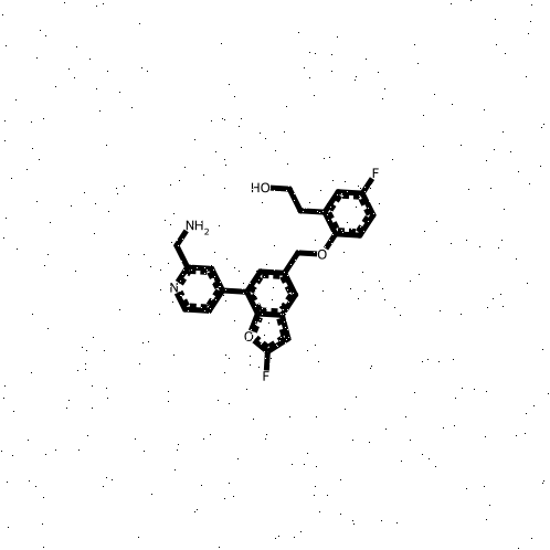 NCc1cc(-c2cc(COc3ccc(F)cc3CCO)cc3cc(F)oc23)ccn1